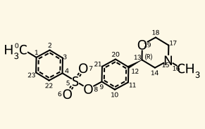 Cc1ccc(S(=O)(=O)Oc2ccc([C@@H]3CN(C)CCO3)cc2)cc1